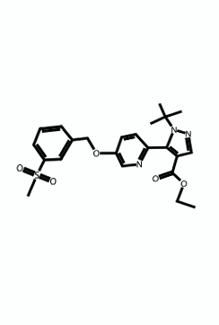 CCOC(=O)c1cnn(C(C)(C)C)c1-c1ccc(OCc2cccc(S(C)(=O)=O)c2)cn1